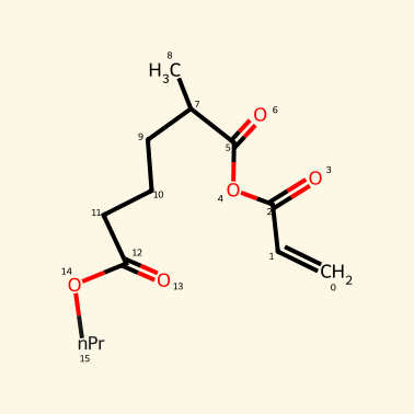 C=CC(=O)OC(=O)C(C)CCCC(=O)OCCC